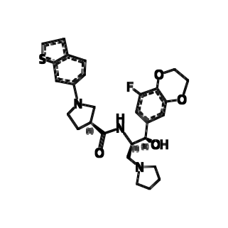 O=C(N[C@H](CN1CCCC1)[C@H](O)c1cc(F)c2c(c1)OCCO2)[C@H]1CCN(c2ccc3ccsc3c2)C1